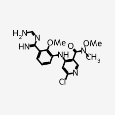 COc1c(Nc2cc(Cl)ncc2C(=O)N(C)OC)cccc1C(=N)/N=C\N